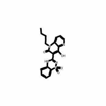 CCCCn1c(=O)c(C2=NS(=O)(=O)c3ccccc3N2)c(O)c2ncccc21